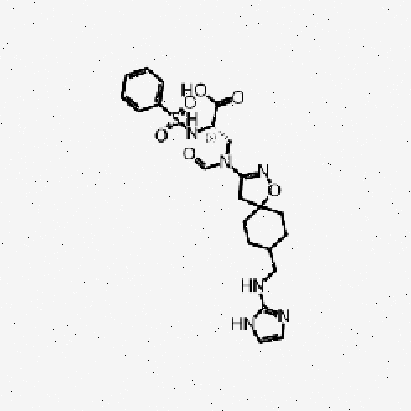 O=CN(C[C@H](NS(=O)(=O)c1ccccc1)C(=O)O)C1=NOC2(CCC(CNc3ncc[nH]3)CC2)C1